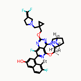 CCc1c(F)ccc2cc(O)cc(-c3nc4c5c(nc(OCC6(CN7CCC(=C(F)F)C7)CC6)nc5c3F)N3C[C@H]5CC[C@H](N5)[C@H]3[C@H](C)O4)c12